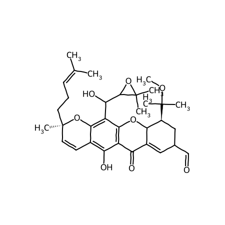 COC(C)(C)[C@H]1CC(C=O)C=C2C(=O)c3c(O)c4c(c(C(O)C5OC5(C)C)c3OC21)O[C@](C)(CCC=C(C)C)C=C4